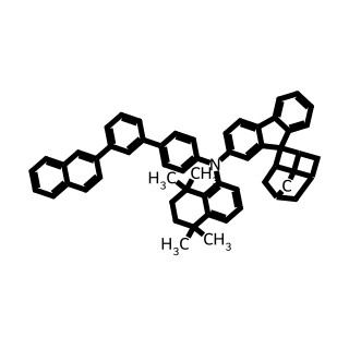 CC1(C)CCC(C)(C)c2c(N(c3ccc(-c4cccc(-c5ccc6ccccc6c5)c4)cc3)c3ccc4c(c3)C3(c5ccccc5-4)C4CC5CC6CC3C64C5)cccc21